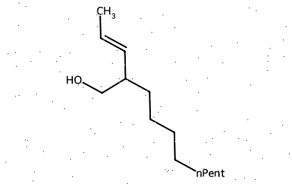 CC=CC(CO)CCCCCCCCC